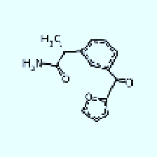 C[C@@H](C(N)=O)c1cccc(C(=O)c2ccco2)c1